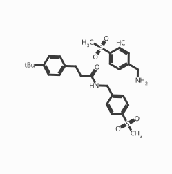 CC(C)(C)c1ccc(CCC(=O)NCc2ccc(S(C)(=O)=O)cc2)cc1.CS(=O)(=O)c1ccc(CN)cc1.Cl